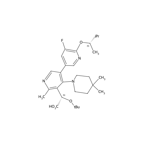 Cc1ncc(-c2cnc(O[C@@H](C)C(C)C)c(F)c2)c(N2CCC(C)(C)CC2)c1[C@H](OC(C)(C)C)C(=O)O